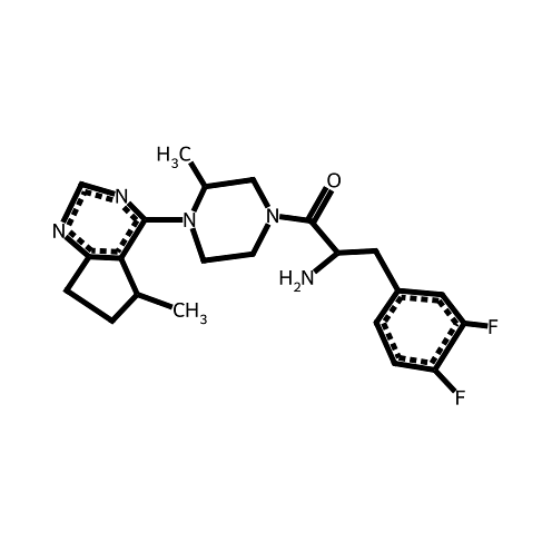 CC1CCc2ncnc(N3CCN(C(=O)C(N)Cc4ccc(F)c(F)c4)CC3C)c21